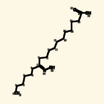 CCCCCCC(CCCCCCCCCCC(=O)O)=NO